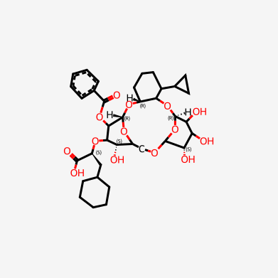 O=C(OC1C(O[C@@H](CC2CCCCC2)C(=O)O)[C@@H](O)C2COC3O[C@@H](OC4C(C5CC5)CCC[C@H]4O[C@@H]1O2)C(O)C(O)[C@@H]3O)c1ccccc1